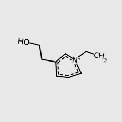 CC[n+]1cccc(CCO)c1